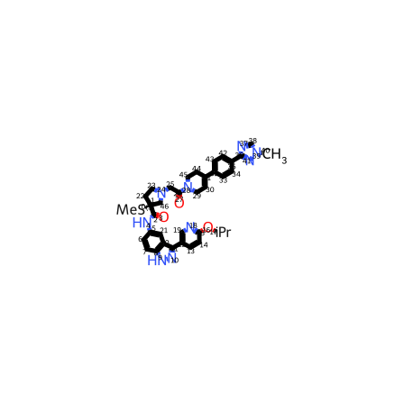 CS[C@@]1(C(=O)Nc2ccc3[nH]nc(-c4ccc(OC(C)C)nc4)c3c2)CCN(CC(=O)N2CC=C(c3ccc(-c4ncn(C)n4)cc3)CC2)C1